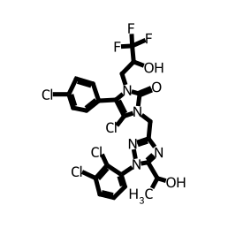 CC(O)c1nc(Cn2c(Cl)c(-c3ccc(Cl)cc3)n(CC(O)C(F)(F)F)c2=O)nn1-c1cccc(Cl)c1Cl